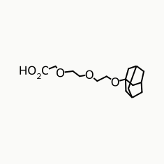 O=C(O)COCCOCCOC12CC3CC(CC(C3)C1)C2